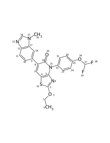 CCOc1nc2c(cc(-c3ccc4ncn(C)c4c3)c(=O)n2-c2ccc(OC(F)F)cc2)s1